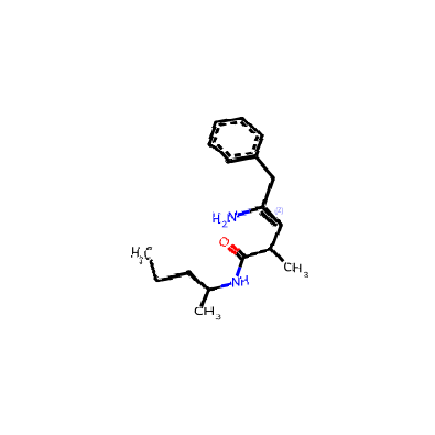 CCCC(C)NC(=O)C(C)/C=C(\N)Cc1ccccc1